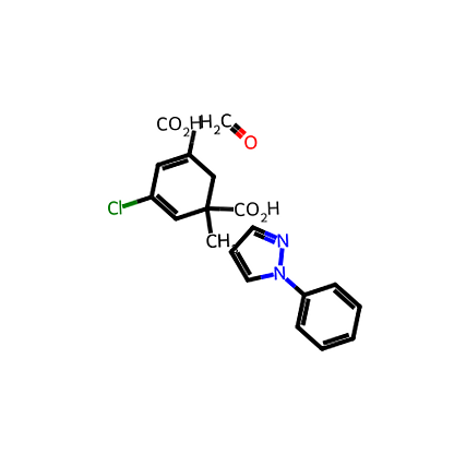 C=O.CC1(C(=O)O)C=C(Cl)C=C(C(=O)O)C1.c1ccc(-n2cccn2)cc1